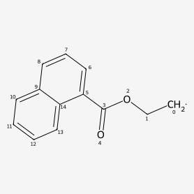 [CH2]COC(=O)c1cccc2ccccc12